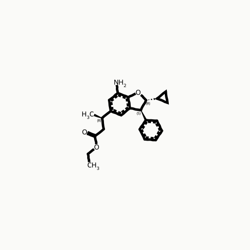 CCOC(=O)C[C@@H](C)c1cc(N)c2c(c1)[C@H](c1ccccc1)[C@@H](C1CC1)O2